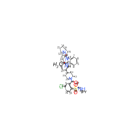 Cc1nc2ccccc2n1C1CC2CCC(C1)N2CCc1ccc(C2CCN(C(=O)c3cc(Cl)ccc3S(=O)(=O)NC(C)C)CC2)cc1